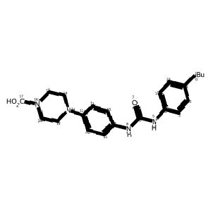 CCC(C)c1ccc(NC(=O)Nc2ccc(N3CCN(C(=O)O)CC3)cc2)cc1